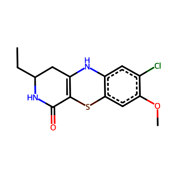 CCC1CC2=C(Sc3cc(OC)c(Cl)cc3N2)C(=O)N1